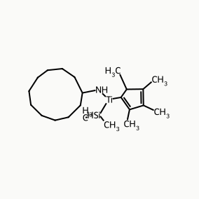 CC1=C(C)C(C)[C]([Ti]([NH]C2CCCCCCCCCC2)[SiH](C)C)=C1C